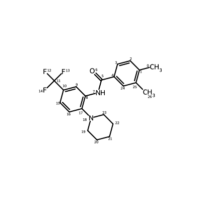 Cc1ccc(C(=O)Nc2cc(C(F)(F)F)ccc2N2CCCCC2)cc1C